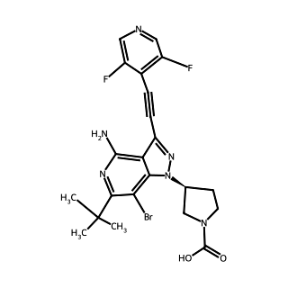 CC(C)(C)c1nc(N)c2c(C#Cc3c(F)cncc3F)nn([C@H]3CCN(C(=O)O)C3)c2c1Br